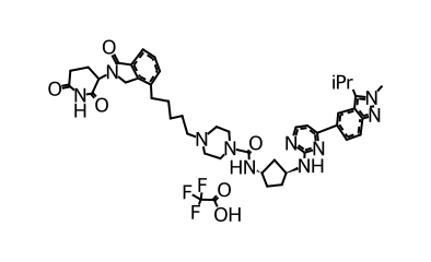 CC(C)c1c2cc(-c3ccnc(N[C@H]4CC[C@H](NC(=O)N5CCN(CCCCCc6cccc7c6CN(C6CCC(=O)NC6=O)C7=O)CC5)C4)n3)ccc2nn1C.O=C(O)C(F)(F)F